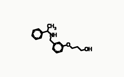 CC(NCc1cccc(OCCCO)c1)c1ccccc1